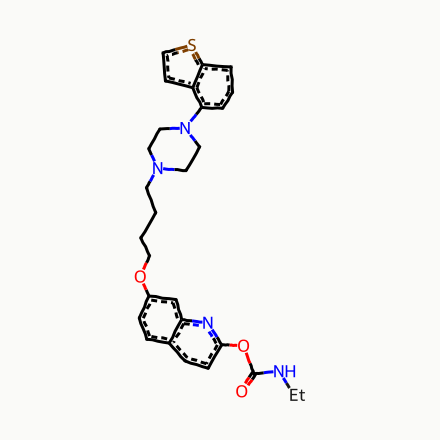 CCNC(=O)Oc1ccc2ccc(OCCCCN3CCN(c4cccc5sccc45)CC3)cc2n1